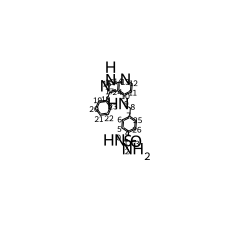 N=S(N)(=O)c1ccc(CNc2ccnc3[nH]nc(-c4ccccc4)c23)cc1